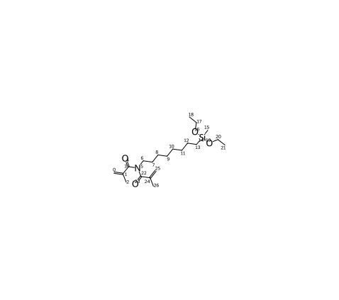 C=C(C)C(=O)N(CCCCCCCC[Si](C)(OCC)OCC)C(=O)C(=C)C